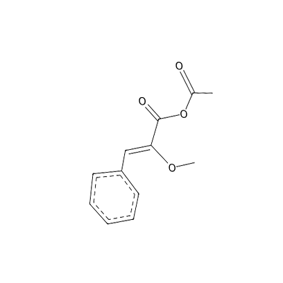 COC(=Cc1ccccc1)C(=O)OC(C)=O